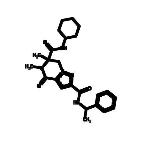 CC(NC(=O)c1cc2n(n1)CC(C)(C(=O)NC1CCCCC1)N(C)C2=O)c1ccccc1